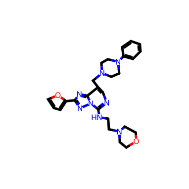 c1ccc(N2CCN(Cc3cnc(NCCN4CCOCC4)n4nc(-c5ccco5)nc34)CC2)cc1